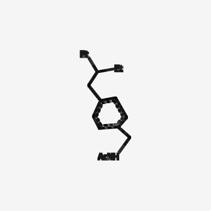 CCC(CC)Cc1ccc(CNC(C)=O)cc1